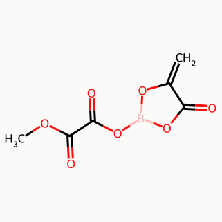 C=C1OB(OC(=O)C(=O)OC)OC1=O